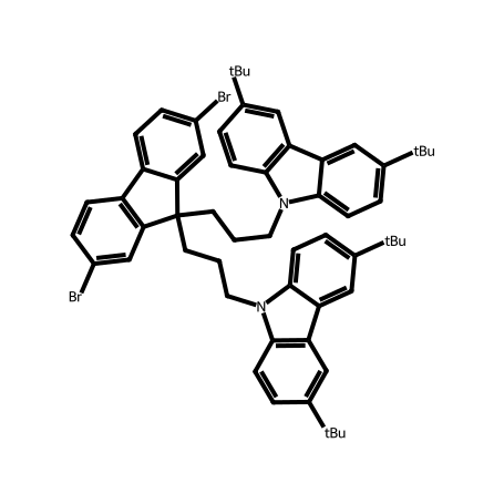 CC(C)(C)c1ccc2c(c1)c1cc(C(C)(C)C)ccc1n2CCCC1(CCCn2c3ccc(C(C)(C)C)cc3c3cc(C(C)(C)C)ccc32)c2cc(Br)ccc2-c2ccc(Br)cc21